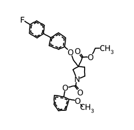 CCOC(=O)C1(COc2ccc(-c3ccc(F)cc3)cc2)CCN(C(=O)Oc2ccccc2OC)C1